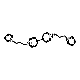 c1ccn(CCC[n+]2ccc(-c3cc[n+](CCCn4cccc4)cc3)cc2)c1